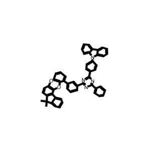 CC1(C)c2ccccc2-c2c1ccc1c2Oc2c(cccc2-c2cccc(-c3nc(-c4ccccc4)nc(-c4ccc(-n5c6ccccc6c6ccccc65)cc4)n3)c2)O1